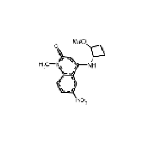 CO[C@H]1CC[C@@H]1Nc1cc(=O)n(C)c2ccc([N+](=O)[O-])cc12